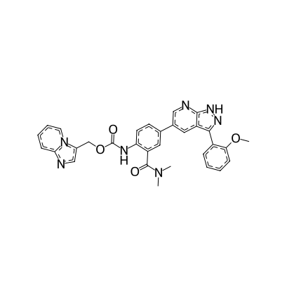 COc1ccccc1-c1n[nH]c2ncc(-c3ccc(NC(=O)OCc4cnc5ccccn45)c(C(=O)N(C)C)c3)cc12